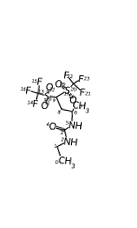 CCNC(=O)NC(C)CC(S(=O)(=O)C(F)(F)F)S(=O)(=O)C(F)(F)F